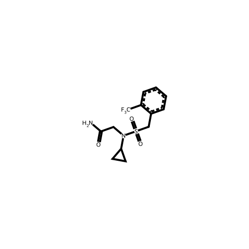 NC(=O)CN(C1CC1)S(=O)(=O)Cc1ccccc1C(F)(F)F